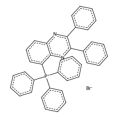 [Br-].c1ccc(-c2nc3cccc([P+](c4ccccc4)(c4ccccc4)c4ccccc4)c3nc2-c2ccccc2)cc1